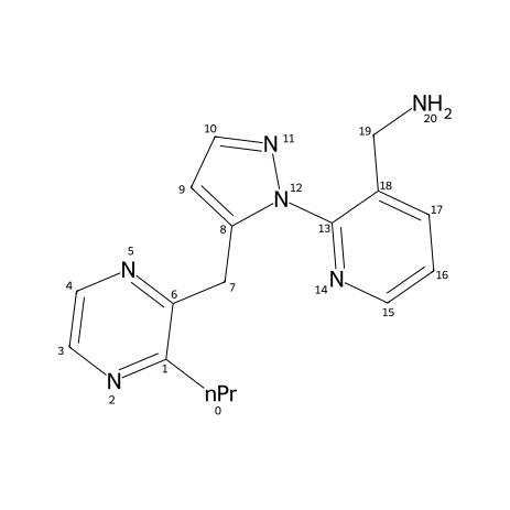 CCCc1nccnc1Cc1ccnn1-c1ncccc1CN